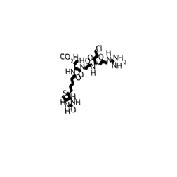 N=C(N)NCCC[C@H](NC(=O)CNC(=O)[C@H](CCC(=O)O)NC(=O)CCCC[C@@H]1SC[C@@H]2NC(=O)N[C@@H]21)C(=O)C(=O)CCl